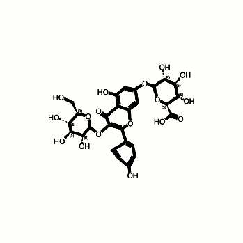 O=C(O)[C@H]1OC(Oc2cc(O)c3c(=O)c(OC4O[C@H](CO)[C@@H](O)[C@H](O)[C@H]4O)c(-c4ccc(O)cc4)oc3c2)[C@H](O)[C@@H](O)[C@@H]1O